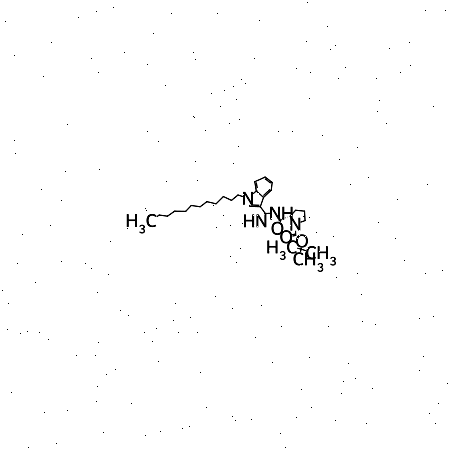 CCCCCCCCCCCCn1cc(C(=N)NC(=O)[C@@H]2CCCN2C(=O)OC(C)(C)C)c2ccccc21